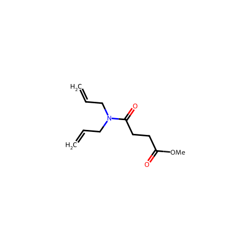 C=CCN(CC=C)C(=O)CCC(=O)OC